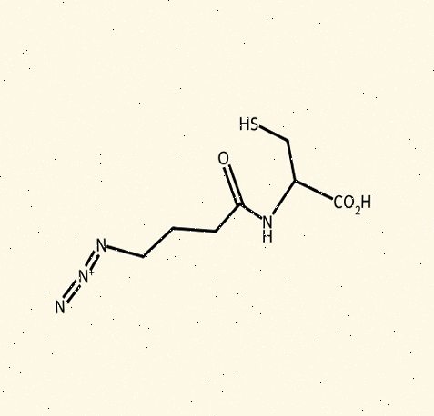 [N-]=[N+]=NCCCC(=O)NC(CS)C(=O)O